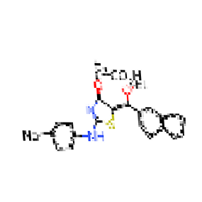 CC(=O)O.CCO/C(=C1/SC(Nc2cc[c]([Na])cc2)=NC1=O)c1ccc2ccccc2c1